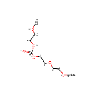 CCCCOCCOCCOC(=O)OCCOCC